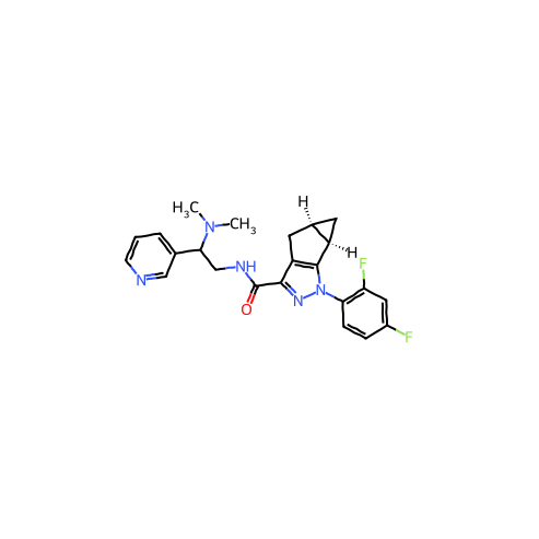 CN(C)C(CNC(=O)c1nn(-c2ccc(F)cc2F)c2c1C[C@H]1C[C@@H]21)c1cccnc1